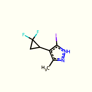 Cc1n[nH]c(I)c1C1CC1(F)F